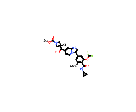 COc1cc(-c2cnc3cc(C(O)C4(C)CN(C(=O)OC(C)(C)C)C4)ccn23)cc(OC(F)F)c1C(=O)NC1CC1